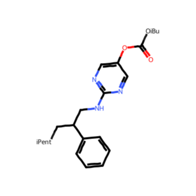 CCCC(C)CC(CNc1ncc(OC(=O)OCC(C)C)cn1)c1ccccc1